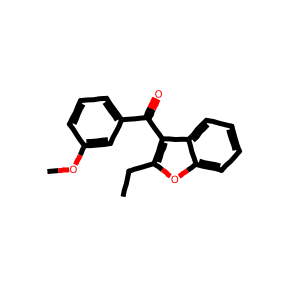 CCc1oc2ccccc2c1C(=O)c1cccc(OC)c1